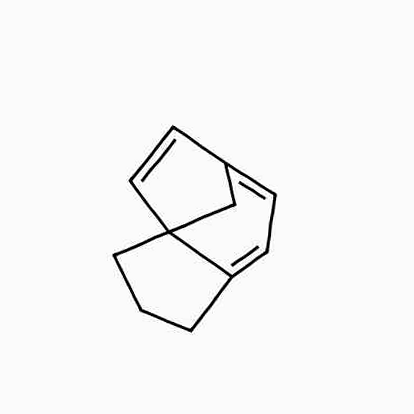 C1=CC23CCCC2=CC=C1C3